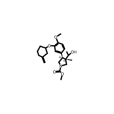 C=C1CCCC(Oc2cc([C@@H]3CN(C(=O)OC)C[C@@]3(C)C(C)O)ccc2OC)C1